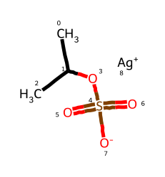 CC(C)OS(=O)(=O)[O-].[Ag+]